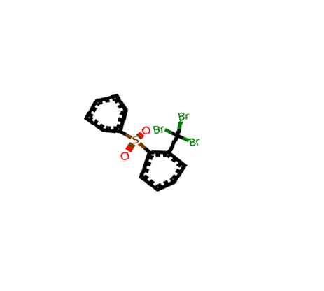 O=S(=O)(c1ccccc1)c1ccccc1C(Br)(Br)Br